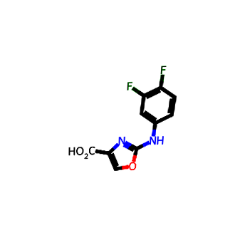 O=C(O)c1coc(Nc2ccc(F)c(F)c2)n1